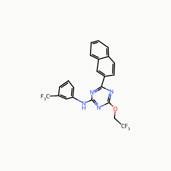 FC(F)(F)COc1nc(Nc2cccc(C(F)(F)F)c2)nc(-c2ccc3ccccc3c2)n1